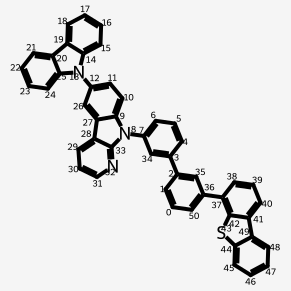 c1cc(-c2cccc(-n3c4ccc(-n5c6ccccc6c6ccccc65)cc4c4cccnc43)c2)cc(-c2cccc3c2sc2ccccc23)c1